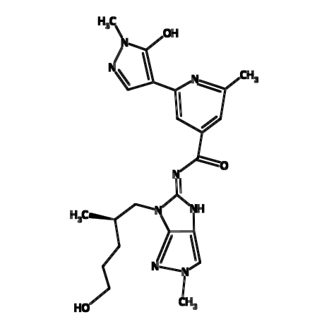 Cc1cc(C(=O)/N=c2\[nH]c3cn(C)nc3n2C[C@H](C)CCCO)cc(-c2cnn(C)c2O)n1